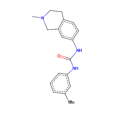 CN1CCc2ccc(NC(=O)Nc3cccc(C(C)(C)C)c3)cc2C1